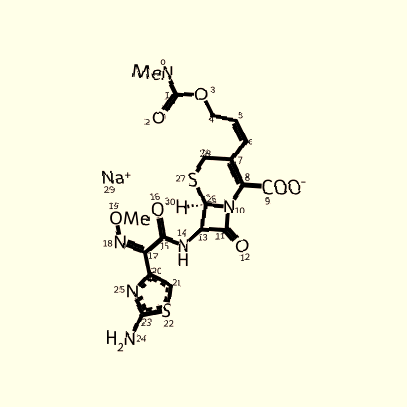 CNC(=O)OC/C=C\C1=C(C(=O)[O-])N2C(=O)C(NC(=O)/C(=N\OC)c3csc(N)n3)[C@H]2SC1.[Na+]